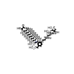 CNCCO.CNCCO.CNCCO.CNCCO.CNCCO.CNCCO.CNCCO.CNCCO.O=C(O)/C=C/C(=O)O.O=C(O)C(=O)O.O=C(O)CC(O)(CC(=O)O)C(=O)O.O=C(O)Cc1ccccc1